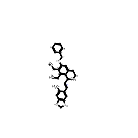 Cc1cc2c(cc1/C=C/C1NCCc3cc(OCc4ccccc4)c(CO)c(CO)c31)OCO2